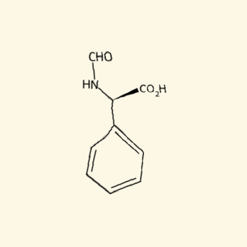 O=CN[C@@H](C(=O)O)c1ccccc1